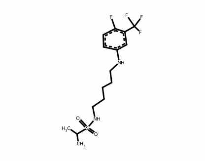 CC(C)S(=O)(=O)NCCCCCNc1ccc(F)c(C(F)(F)F)c1